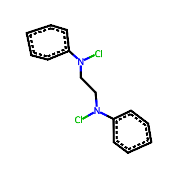 ClN(CCN(Cl)c1ccccc1)c1ccccc1